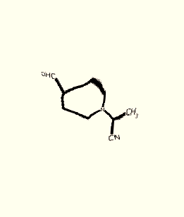 CC(C#N)N1CCC(C=O)CC1